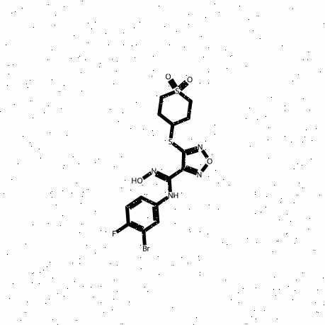 O=S1(=O)CCC(Sc2nonc2C(=NO)Nc2ccc(F)c(Br)c2)CC1